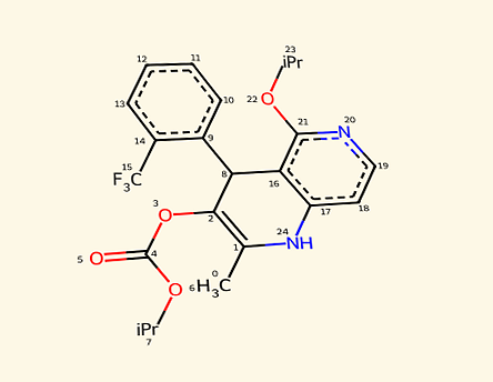 CC1=C(OC(=O)OC(C)C)C(c2ccccc2C(F)(F)F)c2c(ccnc2OC(C)C)N1